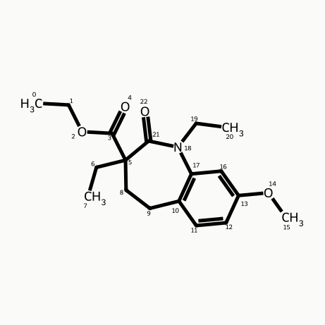 CCOC(=O)C1(CC)CCc2ccc(OC)cc2N(CC)C1=O